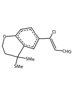 CSC1(SC)CCOc2ccc(C(Cl)=CC=O)cc21